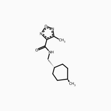 Cc1nonc1C(=O)NC[C@H]1CC[C@H](C)CC1